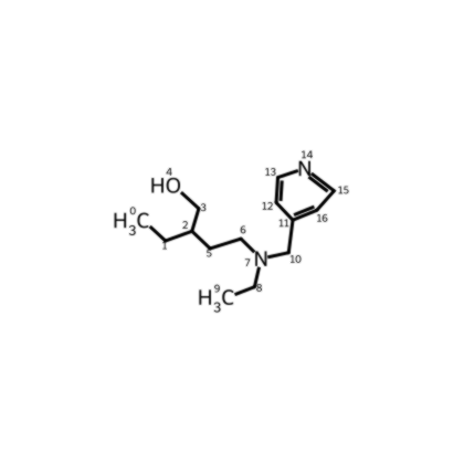 CCC(CO)CCN(CC)Cc1ccncc1